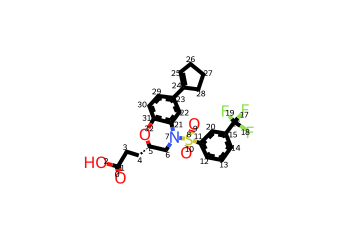 O=C(O)CC[C@H]1CN(S(=O)(=O)c2cccc(C(F)(F)F)c2)c2cc(C3=CCCC3)ccc2O1